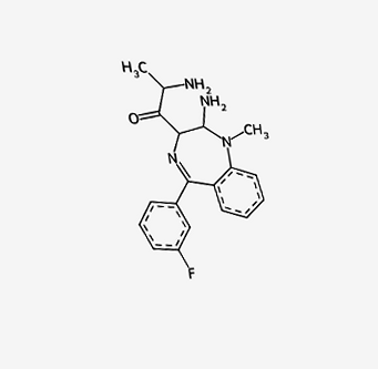 CC(N)C(=O)C1N=C(c2cccc(F)c2)c2ccccc2N(C)C1N